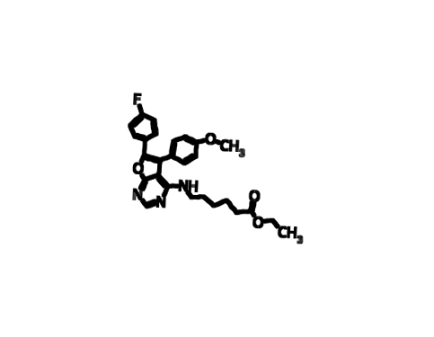 CCOC(=O)CCCCCNc1ncnc2oc(-c3ccc(F)cc3)c(-c3ccc(OC)cc3)c12